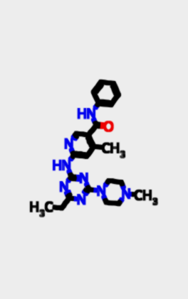 CCc1nc(Nc2cc(C)c(C(=O)Nc3ccccc3)cn2)nc(N2CCN(C)CC2)n1